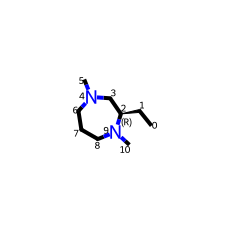 CC[C@@H]1CN(C)CCCN1C